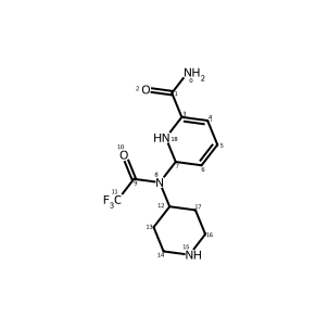 NC(=O)C1=[C]C=CC(N(C(=O)C(F)(F)F)C2CCNCC2)N1